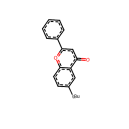 CC(C)(C)c1ccc2oc(-c3ccccc3)cc(=O)c2c1